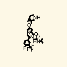 CC(C)NC(=O)Cn1c(-c2ccc(F)c(C(F)(F)F)c2)cn2cc(OCC34CNCCC3C4)cc2c1=O